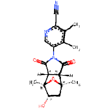 Cc1c(N2C(=O)[C@@H]3[C@H](C2=O)[C@@]2(C)C[C@H](O)[C@]3(C)O2)cnc(C#N)c1C